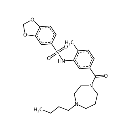 CCCCN1CCCN(C(=O)c2ccc(C)c(NS(=O)(=O)c3ccc4c(c3)OCO4)c2)CC1